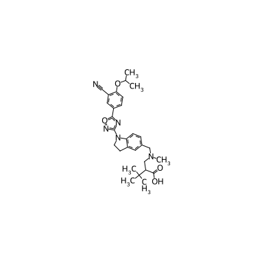 CC(C)Oc1ccc(-c2nc(N3CCc4cc(CN(C)CC(C(=O)O)C(C)(C)C)ccc43)no2)cc1C#N